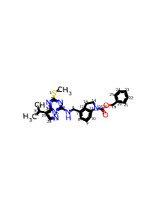 CSc1nc(NCc2cccc3c2CCN3C(=O)OCc2ccccc2)n2ncc(C(C)C)c2n1